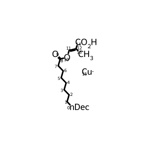 CCCCCCCCCCCCCCCCCC(=O)OC=C(C)C(=O)O.[Cu]